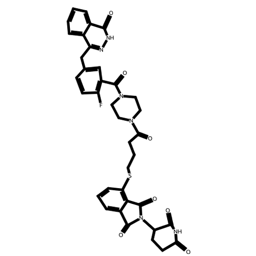 O=C1CCC(N2C(=O)c3cccc(SCCCC(=O)N4CCN(C(=O)c5cc(Cc6n[nH]c(=O)c7ccccc67)ccc5F)CC4)c3C2=O)C(=O)N1